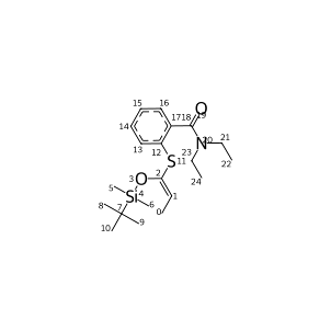 CC=C(O[Si](C)(C)C(C)(C)C)Sc1ccccc1C(=O)N(CC)CC